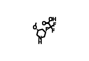 CO[C@@H]1CCCNC1.O=C(O)C(F)(F)F